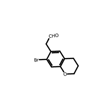 O=CCc1cc2c(cc1Br)OCCC2